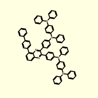 c1ccc(-c2ccc(-c3cccc4nc(-c5ccc(N(c6ccccc6)c6ccc(N(c7ccccc7)c7ccccc7)cc6)cc5)c(-c5ccc(N(c6ccccc6)c6ccc(N(c7ccccc7)c7ccccc7)cc6)cc5)nc34)cc2)cc1